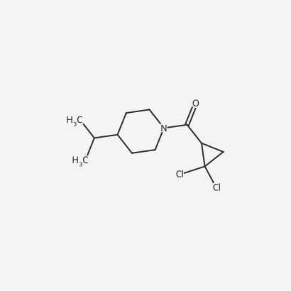 CC(C)C1CCN(C(=O)C2CC2(Cl)Cl)CC1